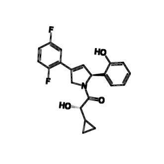 O=C([C@@H](O)C1CC1)N1CC(c2cc(F)ccc2F)=C[C@H]1c1ccccc1O